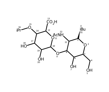 CC[C@H](C)C1OC(CO)C(O)C(OC2OC(C(=O)O)C(OC(C)C)C(O)C2O)C1NC(C)=O